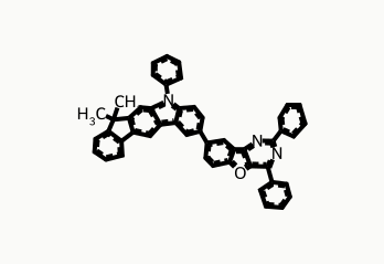 CC1(C)c2ccccc2-c2cc3c4cc(-c5ccc6oc7c(-c8ccccc8)nc(-c8ccccc8)nc7c6c5)ccc4n(-c4ccccc4)c3cc21